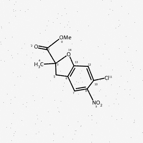 COC(=O)C1(C)Cc2cc([N+](=O)[O-])c(Cl)cc2O1